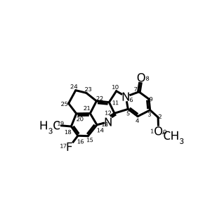 COCc1cc2n(c(=O)c1)Cc1c-2nc2cc(F)c(C)c3c2c1CCC3